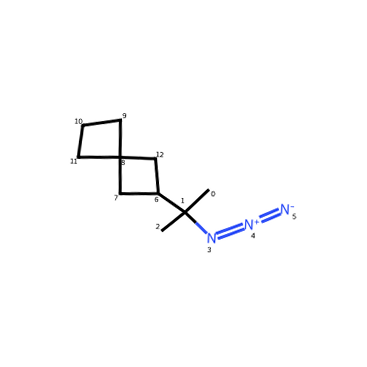 CC(C)(N=[N+]=[N-])C1CC2(CCC2)C1